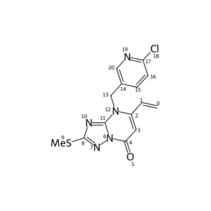 C=Cc1cc(=O)n2nc(SC)nc2n1Cc1ccc(Cl)nc1